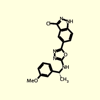 COc1cccc([C@@H](C)Nc2nnc(-c3ccc4[nH]nc(Cl)c4c3)o2)c1